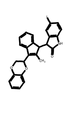 CC1=C(C2COc3ccccc3O2)c2ccccc2C1C1C(=O)Nc2ccc(I)cc21